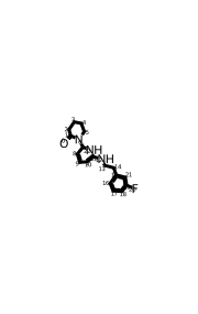 O=C1CCCCN1C1C=C[C]=C(NCCc2cccc(F)c2)N1